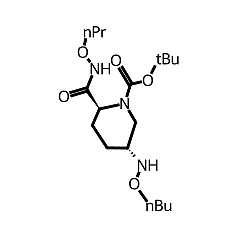 CCCCON[C@@H]1CC[C@@H](C(=O)NOCCC)N(C(=O)OC(C)(C)C)C1